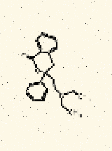 CCN(CC)CCC1(c2ccccc2)Cc2ccccc2C(=O)O1